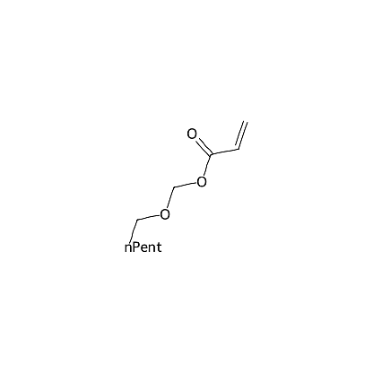 C=CC(=O)OCOCCCCCC